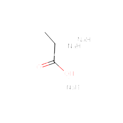 CCC(=O)O.[NaH].[NaH].[NaH]